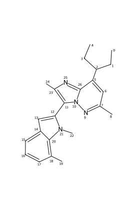 CCC(CC)c1cc(C)nn2c(-c3cc4cccc(C)c4n3C)c(C)nc12